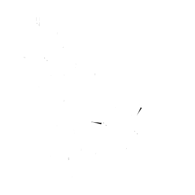 C=CCN1C[C@H](C)N([C@@H](c2cccc(O)c2)c2cccc(C(=O)N3CCNCC3)c2)C[C@H]1C